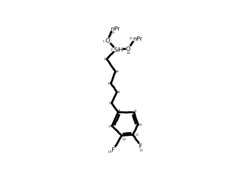 CCCO[SiH](CCCCCc1ccc(F)c(F)c1)OCCC